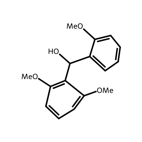 COc1ccccc1C(O)c1c(OC)cccc1OC